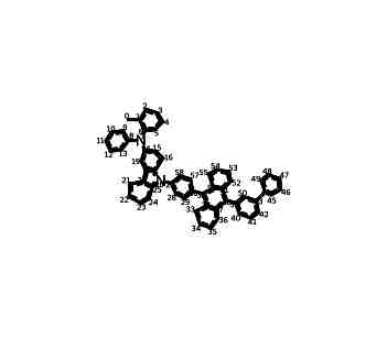 Cc1ccccc1N(c1ccccc1)c1ccc2c(c1)c1ccccc1n2-c1ccc(-c2c3ccccc3c(-c3cccc(-c4ccccc4)c3)c3ccccc23)cc1